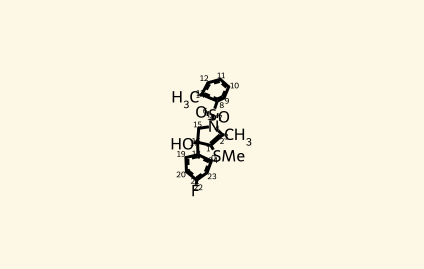 CSC1=C(C)N(S(=O)(=O)c2ccccc2C)CC1(O)c1ccc(F)cc1